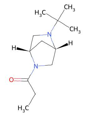 CCC(=O)N1C[C@@H]2C[C@H]1CN2C(C)(C)C